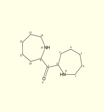 O=C(C1CCCCCN1)C1CCCCCN1